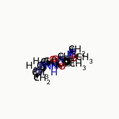 C=C/C=C(\C=C/C)CC(NC(=C)C(=O)N[C@H]1COc2cc(C)c(/C(=N/N=C)OCC)cc2N(C)C1=O)N(C)C